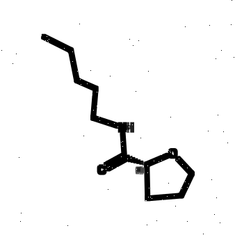 CCCCCNC(=O)[C@H]1CCCO1